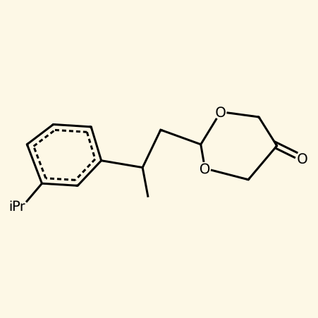 CC(C)c1cccc(C(C)CC2OCC(=O)CO2)c1